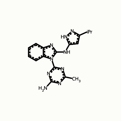 Cc1nc(N)nc(-n2c(Nc3cc(C(C)C)n[nH]3)nc3ccccc32)n1